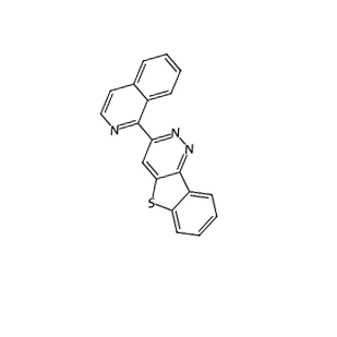 c1ccc2c(-c3cc4sc5ccccc5c4nn3)nccc2c1